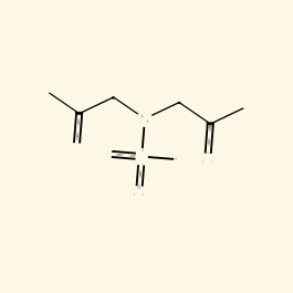 CC(=O)CN(CC(C)=O)S(=O)(=O)F